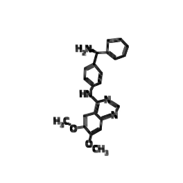 COc1cc2ncnc(Nc3ccc([C@@H](N)c4ccccc4)cc3)c2cc1OC